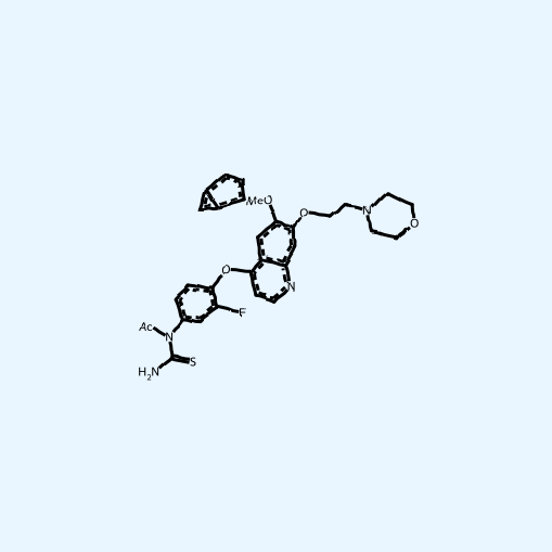 COc1cc2c(Oc3ccc(N(C(C)=O)C(N)=S)cc3F)ccnc2cc1OCCN1CCOCC1.c1cc2cc-2c1